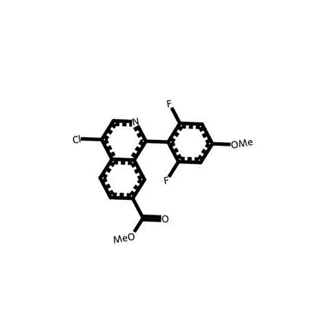 COC(=O)c1ccc2c(Cl)cnc(-c3c(F)cc(OC)cc3F)c2c1